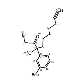 C#CCCCCCC(C)(C(=O)CBr)c1cccc(Br)c1